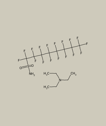 CCN(CC)CC.NS(=O)(=O)C(F)(F)C(F)(F)C(F)(F)C(F)(F)C(F)(F)C(F)(F)C(F)(F)C(F)(F)F